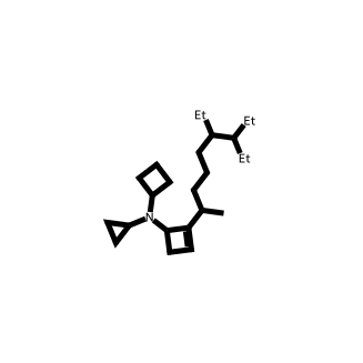 CCC(CC)C(CC)CCCC(C)C1=CCC1N(C1CCC1)C1CC1